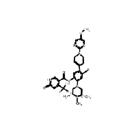 COc1cnc(N2CC=C(c3cc(NC(=O)c4c[nH]c(=O)cc4C(F)(F)F)c(N4C[C@@H](C)N(C)[C@@H](C)C4)cc3F)CC2)nc1